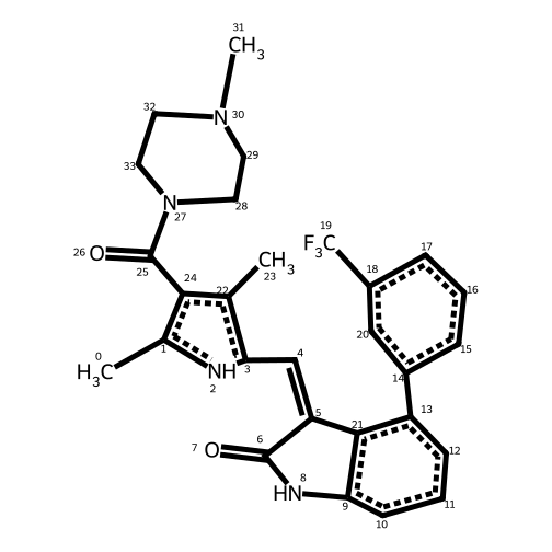 Cc1[nH]c(C=C2C(=O)Nc3cccc(-c4cccc(C(F)(F)F)c4)c32)c(C)c1C(=O)N1CCN(C)CC1